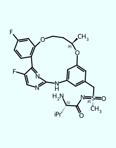 CC(C)[C@H](N)C(=O)N=[S@](C)(=O)Cc1cc2cc(c1)O[C@H](C)CCOc1cc(F)ccc1-c1nc(ncc1F)N2